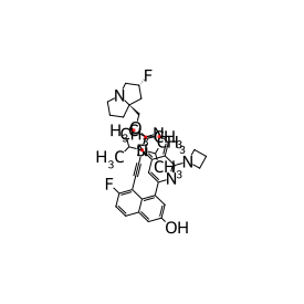 CC(C)[Si](C#Cc1c(F)ccc2cc(O)cc(-c3cc4nc(OC[C@@]56CCCN5C[C@H](F)C6)ncc4c(N4CCC4)n3)c12)(C(C)C)C(C)C